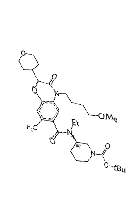 CCN(C(=O)c1cc2c(cc1C(F)(F)F)OC(C1CCOCC1)C(=O)N2CCCCOC)[C@@H]1CCCN(C(=O)OC(C)(C)C)C1